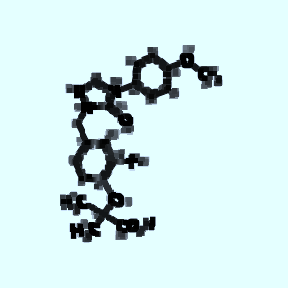 CC(C)(Oc1ccc(Cn2ncn(-c3ccc(OC(F)(F)F)cc3)c2=O)cc1F)C(=O)O